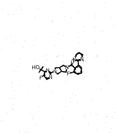 CC(C)(O)c1nc(N2CC3CN(C(=O)c4c(F)cccc4-c4ncccn4)CC3C2)ncc1F